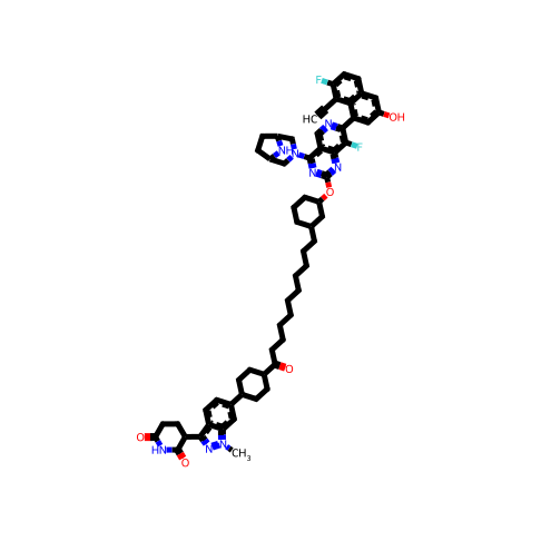 C#Cc1c(F)ccc2cc(O)cc(-c3ncc4c(N5CC6CCC(C5)N6)nc(OC5CCCC(CCCCCCCCCCC(=O)C6CCC(c7ccc8c(C9CCC(=O)NC9=O)nn(C)c8c7)CC6)C5)nc4c3F)c12